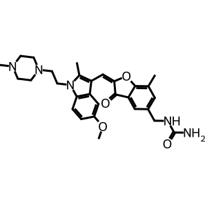 COc1ccc2c(c1)c(C=C1Oc3c(C)cc(CNC(N)=O)cc3C1=O)c(C)n2CCN1CCN(C)CC1